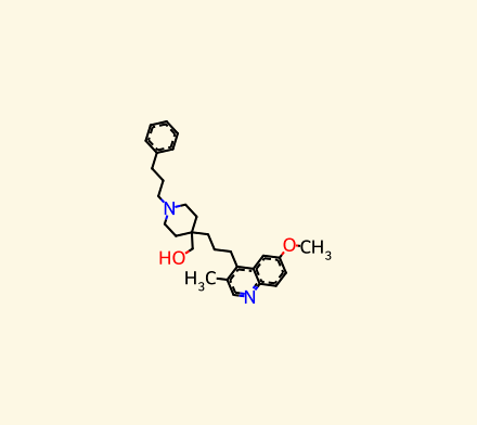 COc1ccc2ncc(C)c(CCCC3(CO)CCN(CCCc4ccccc4)CC3)c2c1